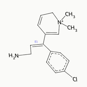 C[N+]1(C)C=C(/C(=C/CN)c2ccc(Cl)cc2)C=CC1